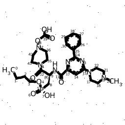 CCCCOP(=O)(O)C[C@H](NC(=O)c1cc(N2CCN(C)CC2)nc(-c2ccccc2)n1)C(=O)N1CCN(OC(=O)O)CC1